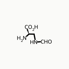 N[C@H](CNC=O)C(=O)O